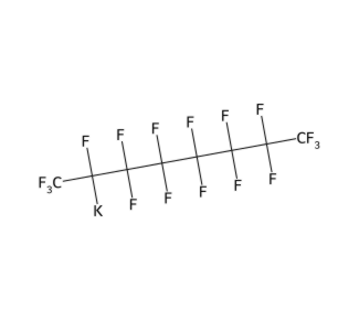 FC(F)(F)C(F)(F)C(F)(F)C(F)(F)C(F)(F)C(F)(F)[C](F)([K])C(F)(F)F